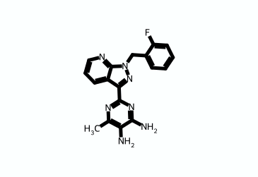 Cc1nc(-c2nn(Cc3ccccc3F)c3ncccc23)nc(N)c1N